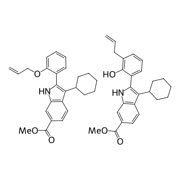 C=CCOc1ccccc1-c1[nH]c2cc(C(=O)OC)ccc2c1C1CCCCC1.C=CCc1cccc(-c2[nH]c3cc(C(=O)OC)ccc3c2C2CCCCC2)c1O